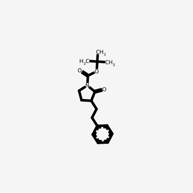 CC(C)(C)OC(=O)N1CCC(CCc2ccccc2)C1=O